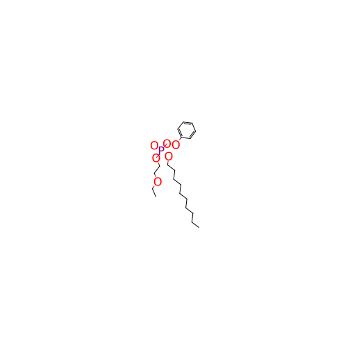 CCCCCCCCCCOP(=O)(OCCOCC)OOc1ccccc1